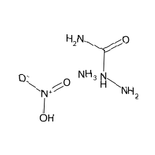 N.NNC(N)=O.O=[N+]([O-])O